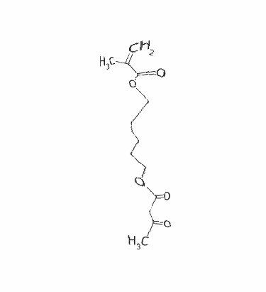 C=C(C)C(=O)OCCCCCOC(=O)CC(C)=O